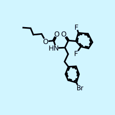 CCCCOC(=O)NC(CCc1ccc(Br)cc1)C(=O)c1c(F)cccc1F